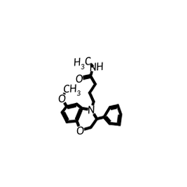 CNC(=O)CCCN1c2cc(OC)ccc2OCC1c1ccccc1